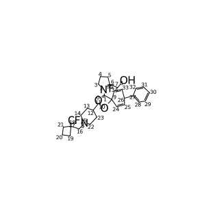 O=C(N1CCCC1CO)C1(OCC2CCN(CC3(C(F)(F)F)CCC3)CC2)C=CC(c2ccccc2)C=C1F